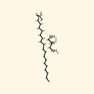 CCCCCCCCCCCCCCCCCC[N+](C)(C)C.NCCCN.[Br-]